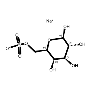 O=S(=O)([O-])OC[C@H]1O[C@@H](O)[C@H](O)[C@@H](O)[C@H]1O.[Na+]